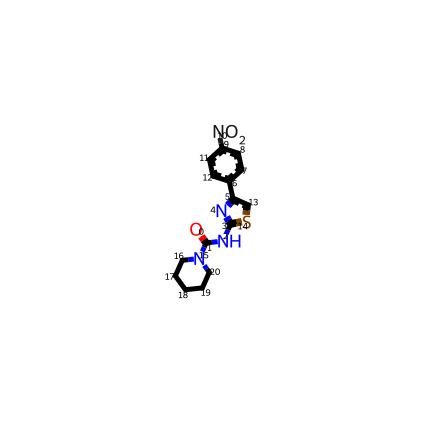 O=C(Nc1nc(-c2ccc([N+](=O)[O-])cc2)cs1)N1CCCCC1